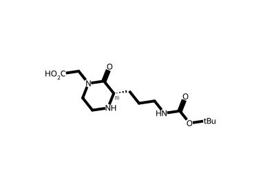 CC(C)(C)OC(=O)NCCC[C@@H]1NCCN(CC(=O)O)C1=O